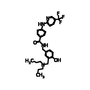 CCCN(CCC)Cc1cc(CNC(=O)c2ccc(Nc3ccc(C(F)(F)F)cn3)cc2)ccc1O